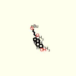 CCCCOCCCCC(=O)[C@H]1CC[C@H]2[C@@H]3CC[C@@H]4C[C@](C)(O)CC[C@@H]4[C@H]3CC[C@]12C